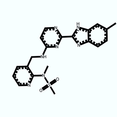 Cc1ccc2nc(-c3nccc(NCc4cccnc4N(C)S(C)(=O)=O)n3)[nH]c2c1